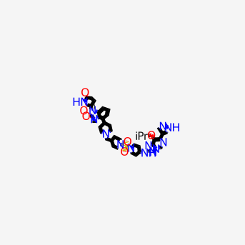 CC(C)Oc1c(-c2cn[nH]c2)ncn2nc(NC3CCN(S(=O)(=O)N4CCC(CN5CCC(c6cccc7c6n(C)c(=O)n7[C@@H]6CCC(=O)NC6=O)CC5)CC4)CC3)nc12